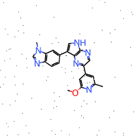 COc1cc(-c2cnc3[nH]cc(-c4ccc5ncn(C)c5c4)c3n2)cc(C)n1